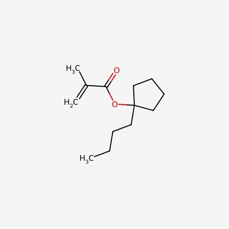 C=C(C)C(=O)OC1(CCCC)CCCC1